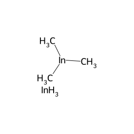 [CH3][In]([CH3])[CH3].[InH3]